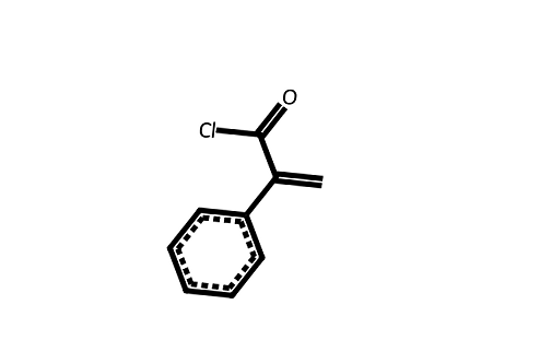 C=C(C(=O)Cl)c1ccccc1